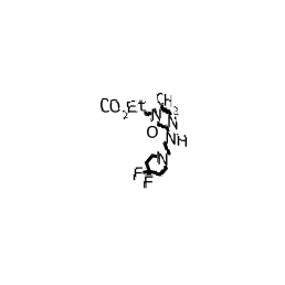 CCOC(=O)Cn1c(C)cnc(NCCN2CCC(F)(F)CC2)c1=O